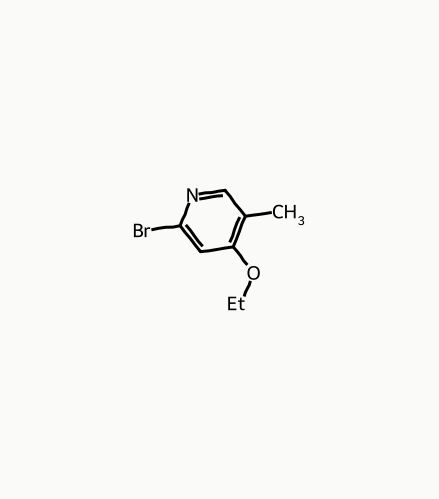 CCOc1cc(Br)ncc1C